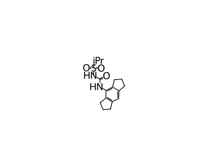 CC(C)S(=O)(=O)NC(=O)Nc1c2c(cc3c1CCC3)CCC2